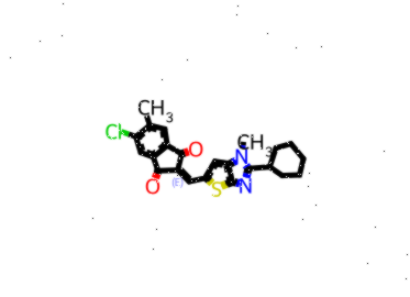 Cc1cc2c(cc1Cl)C(=O)/C(=C/c1cc3c(nc(C4CCCCC4)n3C)s1)C2=O